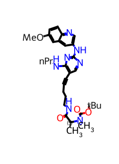 CCCNc1nc(Nc2cnc3ccc(OC)cc3c2)ncc1C#CCCCNC(=O)[C@H](C)N(C)C(=O)OC(C)(C)C